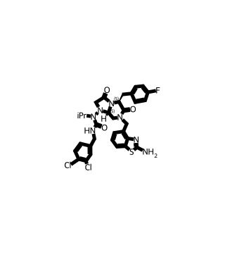 CC(C)N(C(=O)NCc1ccc(Cl)c(Cl)c1)N1CC(=O)N2[C@@H](Cc3ccc(F)cc3)C(=O)N(Cc3cccc4sc(N)nc34)C[C@@H]21